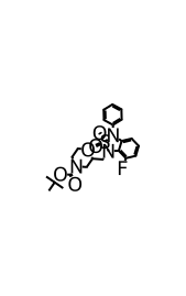 CC(C)(C)OC(=O)N1CCOC(CN2c3c(F)cccc3N(c3ccccc3)S2(=O)=O)C1